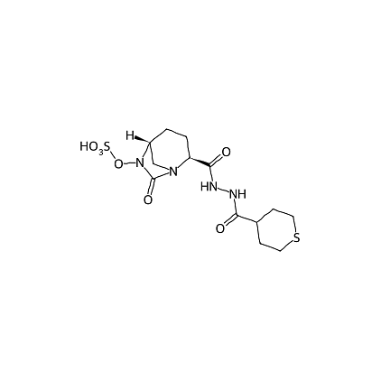 O=C(NNC(=O)[C@@H]1CC[C@@H]2CN1C(=O)N2OS(=O)(=O)O)C1CCSCC1